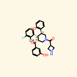 Cc1c(F)cccc1[C@H]1[C@@H](C(=O)c2cccc(O)c2)CN(C(=O)C2CNC2)C[C@@H]1c1[c]cccc1O